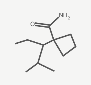 CCC(C(C)C)C1(C(N)=O)CCC1